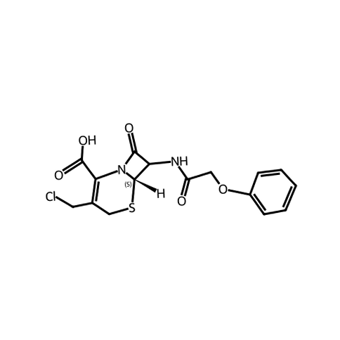 O=C(COc1ccccc1)NC1C(=O)N2C(C(=O)O)=C(CCl)CS[C@@H]12